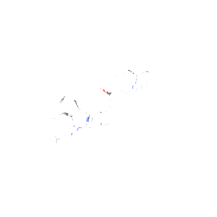 Cl.Cn1nc(C(C)(C)NC(=O)[C@@H]2CN[C@H](CO)CO2)c2cccc(F)c21